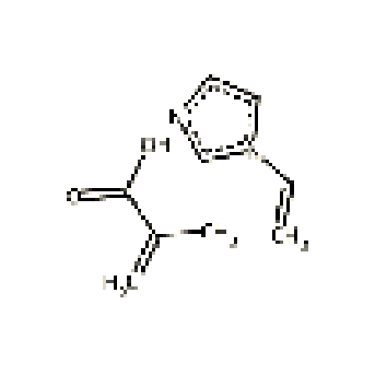 C=C(C)C(=O)O.C=Cn1ccnc1